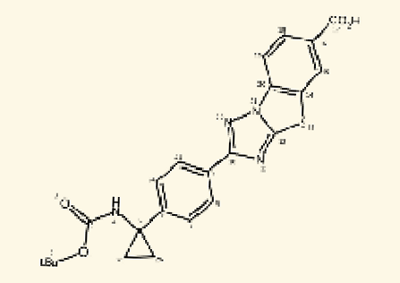 CC(C)(C)OC(=O)NC1(c2ccc(-c3nc4sc5cc(C(=O)O)ccc5n4n3)cc2)CC1